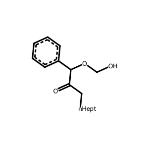 CCCCCCCCC(=O)C(OCO)c1ccccc1